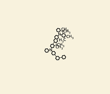 Cc1cc2c(cc1C)C(C)(C)c1ccccc1N2c1ccc2cc3c(cc2c1)C(C)(C)c1cc(N(c2ccccc2)c2ccc(-c4cccc(-c5ccccc5)c4)cc2)ccc1-3